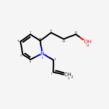 C=CCN1C=CC=CC1CCCO